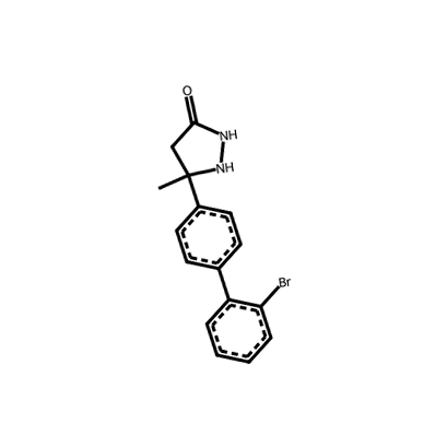 CC1(c2ccc(-c3ccccc3Br)cc2)CC(=O)NN1